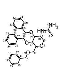 NC(=S)N[C@@H]1COC(COCc2ccccc2)C(OCc2ccccc2)C1OCc1ccccc1